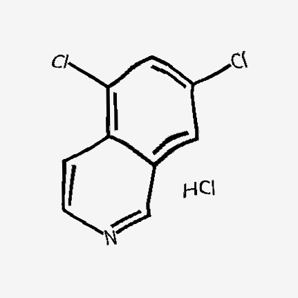 Cl.Clc1cc(Cl)c2ccncc2c1